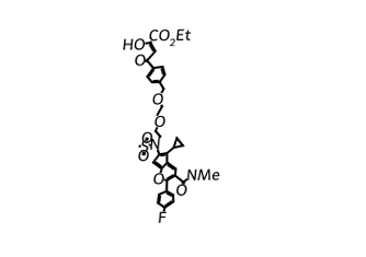 CCOC(=O)C(O)=CC(=O)c1ccc(COCCOCCN(c2cc3oc(-c4ccc(F)cc4)c(C(=O)NC)cc-3c2C2CC2)S(C)(=O)=O)cc1